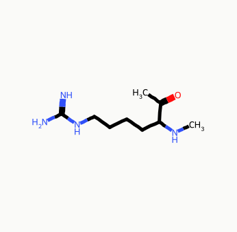 CNC(CCCCNC(=N)N)C(C)=O